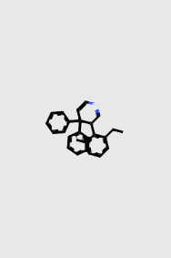 CCc1cccc(C)c1C1C=NC=CC1(c1ccccc1)c1ccccc1